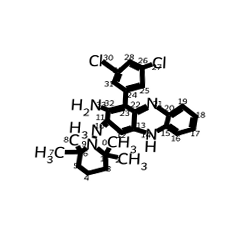 CC1(C)CCCC(C)(C)N1N=c1cc2[nH]c3ccccc3nc-2c(-c2cc(Cl)cc(Cl)c2)c1N